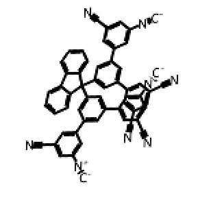 [C-]#[N+]c1cc(C#N)cc(-c2cc(-c3cc(C#N)cc(C#N)c3)cc(C3(c4cc(-c5cc(C#N)cc([N+]#[C-])c5)cc(-c5cc(C#N)cc([N+]#[C-])c5)c4)c4ccccc4-c4ccccc43)c2)c1